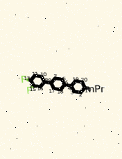 CCCC1CCC(C2CCC(C3CCC(F)C(F)C3)CC2)CC1